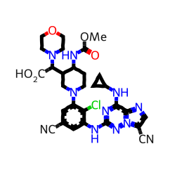 COC(=O)NC1CCN(c2cc(C#N)cc(Nc3nc(NC4CC4)c4ncc(C#N)n4n3)c2Cl)CC1C(C(=O)O)N1CCOCC1